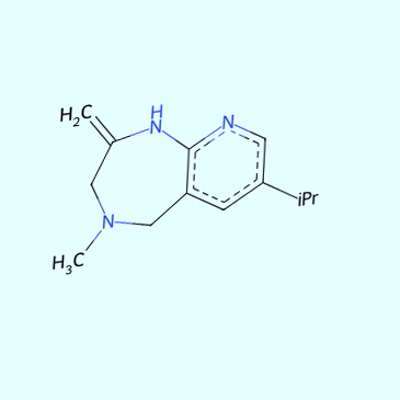 C=C1CN(C)Cc2cc(C(C)C)cnc2N1